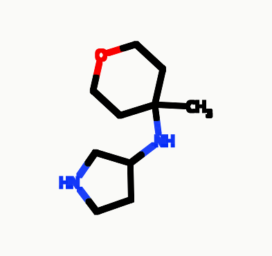 CC1(NC2CCNC2)CCOCC1